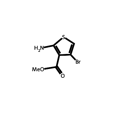 COC(=O)c1c(Br)csc1N